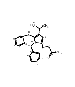 CC(=O)OCc1nc(C(C)C)c(Sc2ccccc2)n1Cc1ccncc1